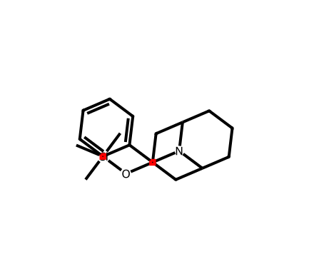 C[Si](C)(C)OC1CC2CCCC(C1)N2Cc1ccccc1